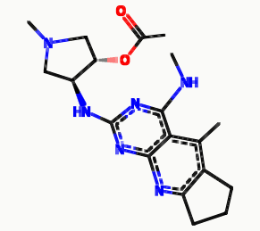 CNc1nc(N[C@H]2CN(C)C[C@@H]2OC(C)=O)nc2nc3c(c(C)c12)CCC3